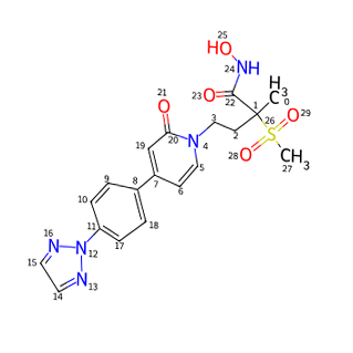 CC(CCn1ccc(-c2ccc(-n3nccn3)cc2)cc1=O)(C(=O)NO)S(C)(=O)=O